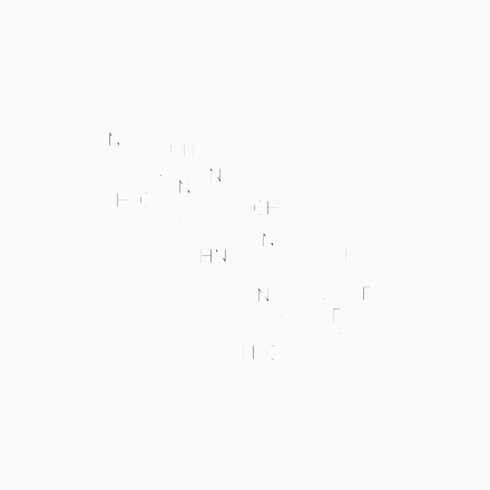 CSc1nc(Nc2cn(C(C)(C)C#N)nc2C)ncc1C(F)(F)F